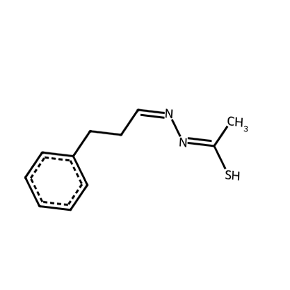 C/C(S)=N\N=C/CCc1ccccc1